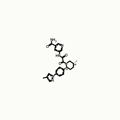 Cc1cnn(-c2ccc([C@@H]3CC[C@@H](C)CN3C(=O)C(=O)Nc3cncc(C(N)=O)c3)cc2)c1